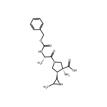 CC1BC1[C@H]1CN(C(=O)[C@H](C)NC(=O)OCc2ccccc2)C[C@@]1(N)C(=O)O